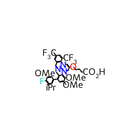 COc1cc(CN(Cc2cc(C(F)(F)F)cc(C(F)(F)F)c2)c2ncc(OCCCC(=O)O)cn2)c(-c2cc(C(C)C)c(F)cc2OC)cc1OC